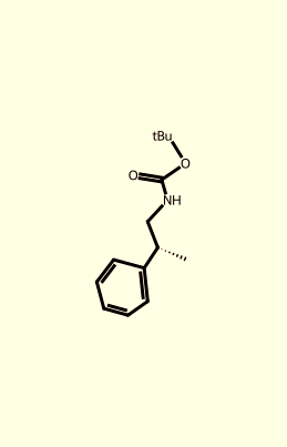 C[C@@H](CNC(=O)OC(C)(C)C)c1ccccc1